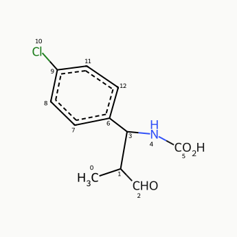 CC(C=O)C(NC(=O)O)c1ccc(Cl)cc1